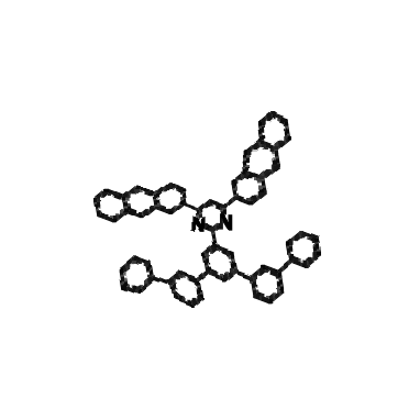 c1ccc(-c2cccc(-c3cc(-c4cccc(-c5ccccc5)c4)cc(-c4nc(-c5ccc6cc7ccccc7cc6c5)cc(-c5ccc6cc7ccccc7cc6c5)n4)c3)c2)cc1